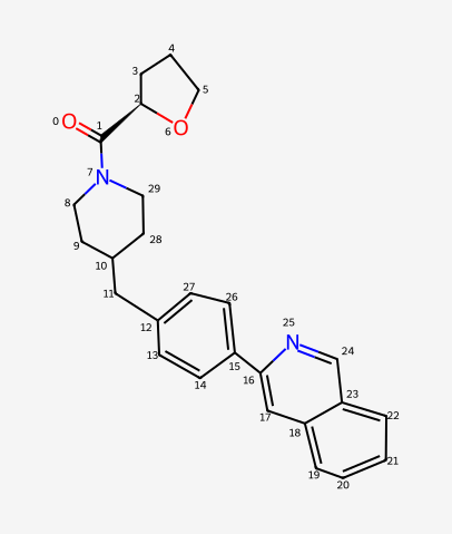 O=C([C@H]1CCCO1)N1CCC(Cc2ccc(-c3cc4ccccc4cn3)cc2)CC1